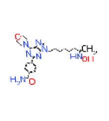 C=C(CCCCCCn1cnc2c(N3CCOCC3)nc(-c3ccc(C(N)=O)cc3)nc21)NO